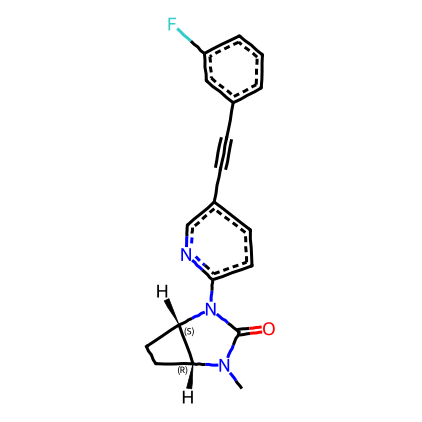 CN1C(=O)N(c2ccc(C#Cc3cccc(F)c3)cn2)[C@H]2CC[C@H]21